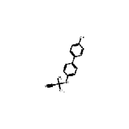 CC(C)(C#N)Nc1ccc(-c2ccc(O)cc2)cc1